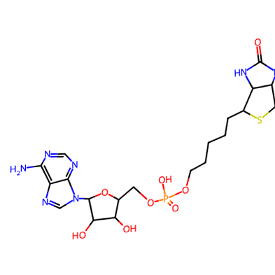 Nc1ncnc2c1ncn2C1OC(COP(=O)(O)OCCCCCC2SCC3NC(=O)NC32)C(O)C1O